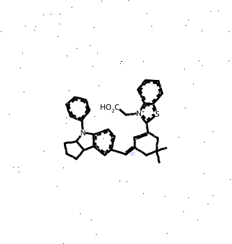 CC1(C)CC(c2sc3ccccc3[n+]2CC(=O)O)=C/C(=C\c2ccc3c(c2)C2CCCC2N3c2ccccc2)C1